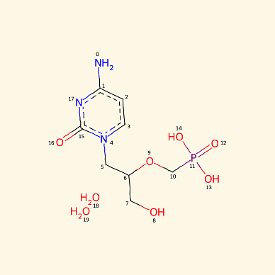 Nc1ccn(CC(CO)OCP(=O)(O)O)c(=O)n1.O.O